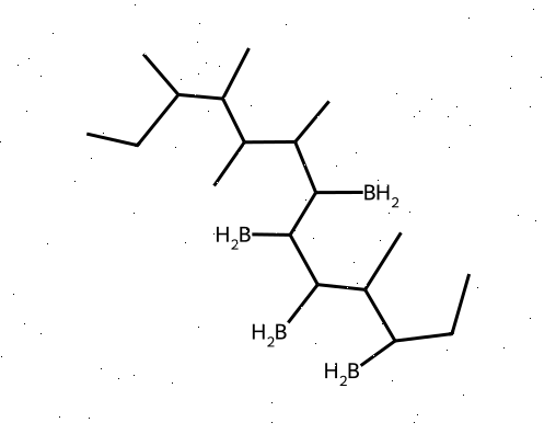 BC(CC)C(C)C(B)C(B)C(B)C(C)C(C)C(C)C(C)CC